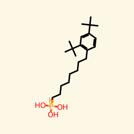 CC(C)(C)c1ccc(CCCCCCCC[PH](O)(O)O)c(C(C)(C)C)c1